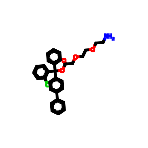 NCCOCCOCC(=O)OC(c1ccccc1)(c1ccc(-c2ccccc2)cc1)c1ccccc1Cl